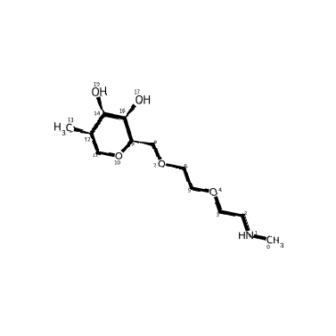 CNCCOCCOC[C@H]1OC[C@@H](C)[C@@H](O)[C@H]1O